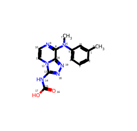 Cc1cccc(N(C)c2nccn3c(NC(=O)O)nnc23)c1